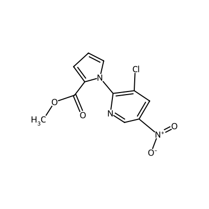 COC(=O)c1cccn1-c1ncc([N+](=O)[O-])cc1Cl